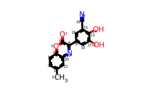 Cc1ccc2oc(=O)c(-c3cc(O)c(O)c(C#N)c3)nc2c1